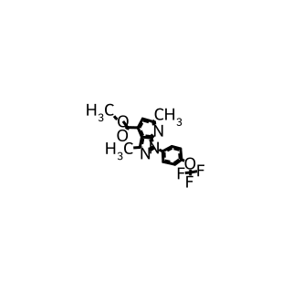 CCOC(=O)c1cc(C)nc2c1c(C)nn2-c1ccc(OC(F)(F)F)cc1